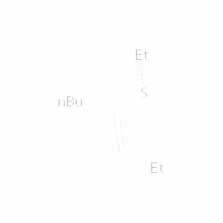 CC/C=C(/CCCC)SCC